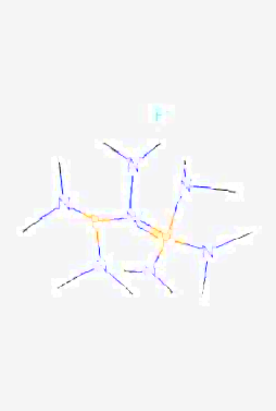 CN(C)[N+](P(N(C)C)N(C)C)=P(N(C)C)(N(C)C)N(C)C.[F-]